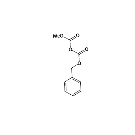 COC(=O)OC(=O)OCc1ccccc1